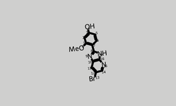 COc1cc(O)ccc1-c1nc2cc(Br)cnc2[nH]1